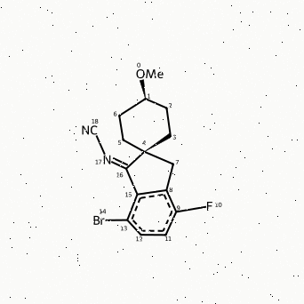 CO[C@H]1CC[C@@]2(CC1)Cc1c(F)ccc(Br)c1/C2=N/C#N